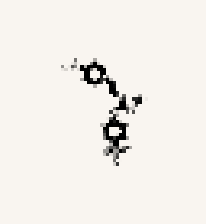 CCCCCCCCCCc1cc[n+](CCOC(=O)Oc2ccc(S(=O)(=O)[O-])cc2)cc1.[Cl-].[Na+]